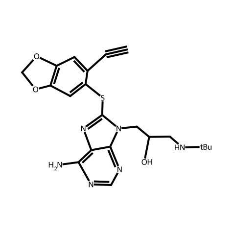 C#Cc1cc2c(cc1Sc1nc3c(N)ncnc3n1CC(O)CNC(C)(C)C)OCO2